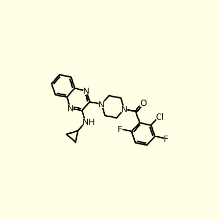 O=C(c1c(F)ccc(F)c1Cl)N1CCN(c2nc3ccccc3nc2NC2CC2)CC1